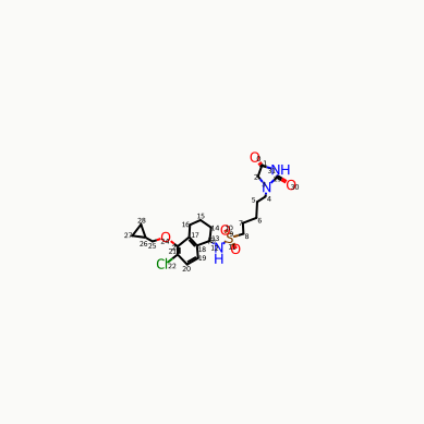 O=C1CN(CCCCCS(=O)(=O)N[C@H]2CCCc3c2ccc(Cl)c3OCC2CC2)C(=O)N1